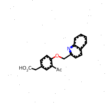 CC(=O)c1cc(CC(=O)O)ccc1OCc1ccc2ccccc2n1